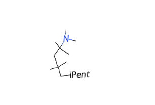 CCCC(C)CC(C)(C)CC(C)(C)N(C)C